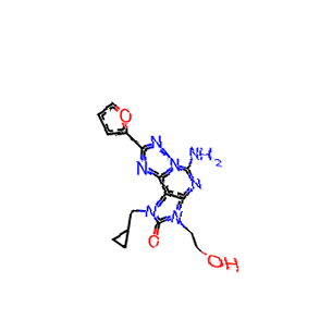 Nc1nc2c(c3nc(-c4ccco4)nn13)n(CC1CC1)c(=O)n2CCO